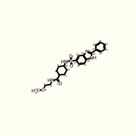 COCCNC(=O)C1CCC(NS(=O)(=O)c2ccc3[nH]c(-c4ccccc4)nc3c2)CC1